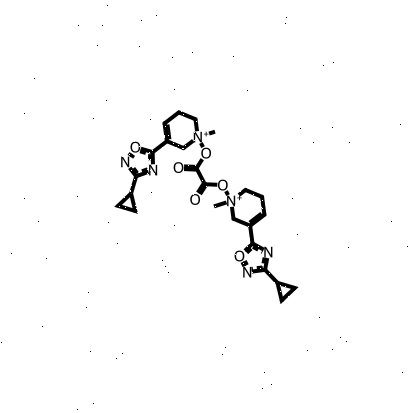 C[N+]1(OC(=O)C(=O)O[N+]2(C)CCC=C(c3nc(C4CC4)no3)C2)CCC=C(c2nc(C3CC3)no2)C1